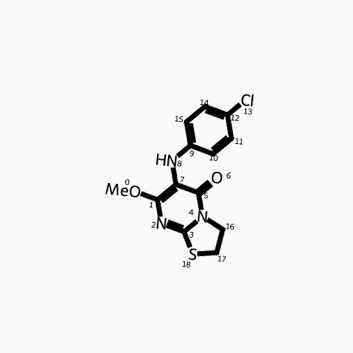 COc1nc2n(c(=O)c1Nc1ccc(Cl)cc1)CCS2